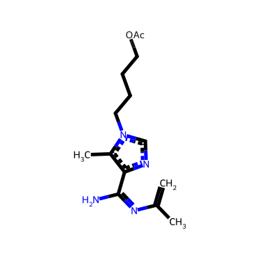 C=C(C)/N=C(/N)c1ncn(CCCCOC(C)=O)c1C